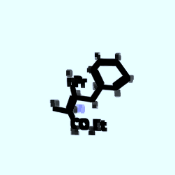 CCC/C(Cc1ccccc1)=C(\C)C(=O)OCC